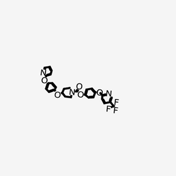 O=C(Oc1ccc(Oc2ccc(C(F)(F)F)cn2)cc1)N1CCC(Oc2ccc(Oc3ccccn3)cc2)CC1